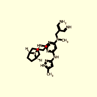 Cc1cc(Nc2cc(N(C)C/C(C=N)=C/N)nc(N[C@@H]3C[C@H]4CC[C@@H](C3)N4CCC#N)n2)n[nH]1